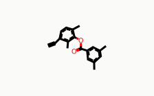 C#Cc1ccc(C)c(OC(=O)c2cc(C)cc(C)c2)c1C